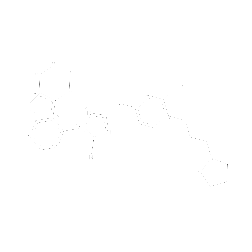 Nc1nc(Nc2ccc(OCCN3CCCC3)c(F)c2)nn1-c1ncnc2sc3c(c12)CCCC3